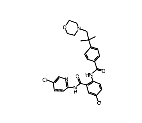 CC(C)(CN1CCOCC1)c1ccc(C(=O)Nc2ccc(Cl)cc2C(=O)Nc2ccc(Cl)cn2)cc1